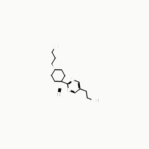 CCCC[C@H]1CC[C@@](C#N)(c2ncc(CCC)cn2)CC1